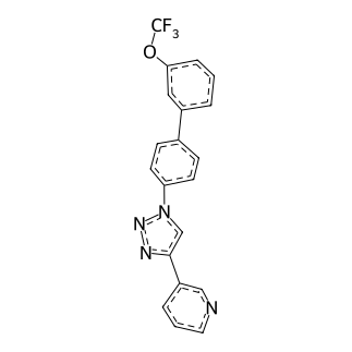 FC(F)(F)Oc1cccc(-c2ccc(-n3cc(-c4cccnc4)nn3)cc2)c1